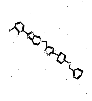 Fc1cccc(-c2nc3ccn(Cc4cc(-c5ccc(OCc6ccccc6)cc5)no4)cc-3n2)c1F